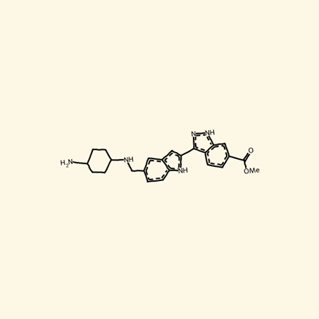 COC(=O)c1ccc2c(-c3cc4cc(CNC5CCC(N)CC5)ccc4[nH]3)n[nH]c2c1